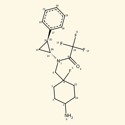 NC1CCC(F)(CN(C(=O)C(F)(F)F)[C@@H]2C[C@H]2c2ccccc2)CC1